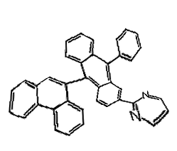 c1ccc(-c2c3ccccc3c(-c3cc4ccccc4c4ccccc34)c3ccc(-c4ncccn4)cc23)cc1